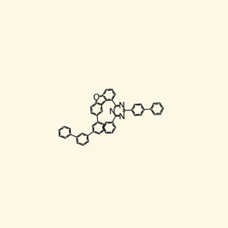 c1ccc(-c2ccc(-c3nc(-c4ccccc4)nc(-c4cccc5oc6ccc(-c7cccc(-c8cccc(-c9ccccc9)c8)c7)cc6c45)n3)cc2)cc1